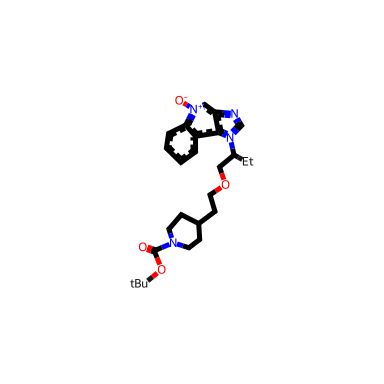 CCC(COCCC1CCN(C(=O)OC(C)(C)C)CC1)n1cnc2c[n+]([O-])c3ccccc3c21